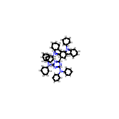 c1ccc(N(c2ccccc2)c2nc(-c3cc4c5ccccc5n(-c5ccccc5)c4c4c5ccccc5n(-c5ccccc5)c34)nc(N(c3ccccc3)c3ccccc3)n2)cc1